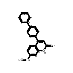 CCCCOc1ccc2c(-c3ccc(-c4ccccc4)cc3)cc(=O)oc2c1